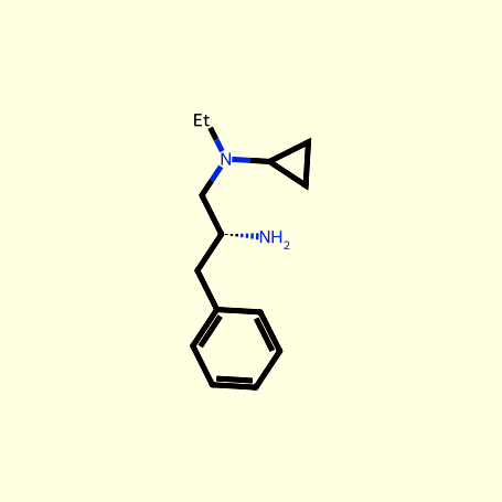 CCN(C[C@H](N)Cc1ccccc1)C1CC1